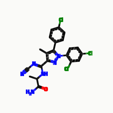 Cc1c(C(=NC#N)NC(C)C(N)=O)nn(-c2ccc(Cl)cc2Cl)c1-c1ccc(Cl)cc1